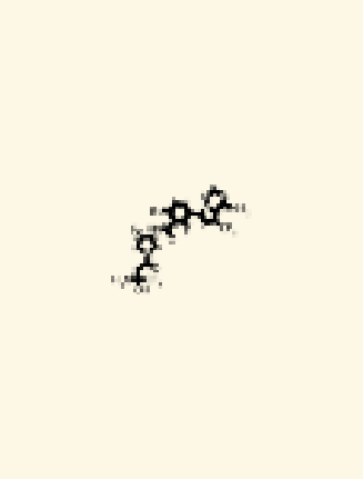 CCc1ccc(-c2cc(C(F)(F)F)c3c(N)ncnn23)c(F)c1C(=O)N[C@@H]1CN(C(=O)CC(C)(O)C(F)(F)F)C[C@@H]1F